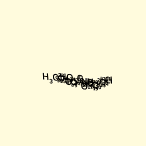 Cc1ccc(COc2ccc(CC(NC(=O)c3cc4ccc(-c5ccc(Cl)cc5)cc4o3)C(=O)O)cc2)cc1